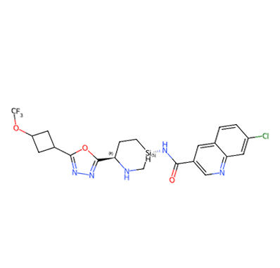 O=C(N[Si@H]1CC[C@H](c2nnc(C3CC(OC(F)(F)F)C3)o2)NC1)c1cnc2cc(Cl)ccc2c1